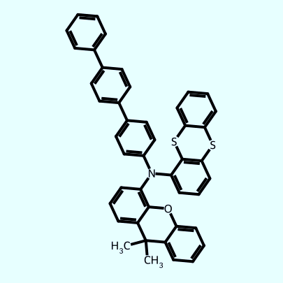 CC1(C)c2ccccc2Oc2c(N(c3ccc(-c4ccc(-c5ccccc5)cc4)cc3)c3cccc4c3Sc3ccccc3S4)cccc21